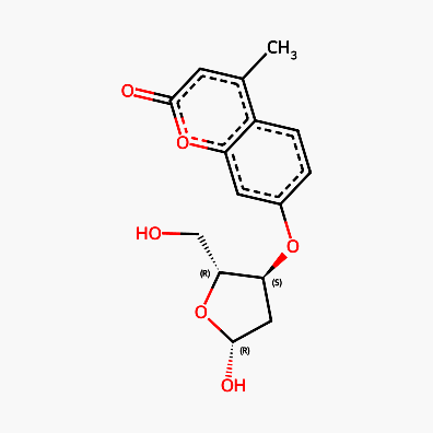 Cc1cc(=O)oc2cc(O[C@H]3C[C@H](O)O[C@@H]3CO)ccc12